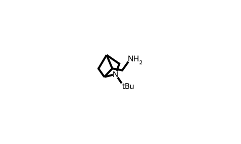 CC(C)(C)N1CC2CC1C2CN